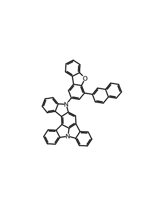 c1ccc2cc(-c3cc(-n4c5ccccc5c5c6c7ccccc7n7c8ccccc8c(cc54)c67)cc4c3oc3ccccc34)ccc2c1